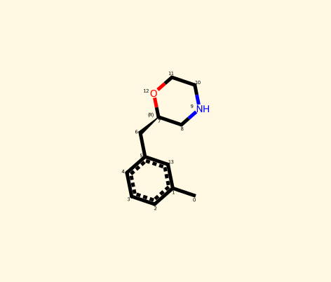 Cc1cccc(C[C@@H]2CNCCO2)c1